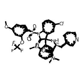 COc1ccc(S(=O)(=O)N2C(=O)C(N[C@@H](Cc3cccnc3)C(=O)N(C)C)(c3ccccc3OC)c3cc(Cl)ccc32)c(OC(F)(F)F)c1